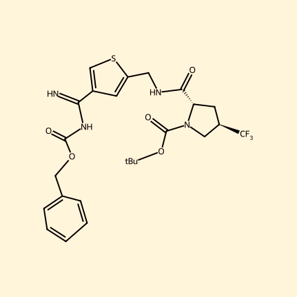 CC(C)(C)OC(=O)N1C[C@H](C(F)(F)F)C[C@H]1C(=O)NCc1cc(C(=N)NC(=O)OCc2ccccc2)cs1